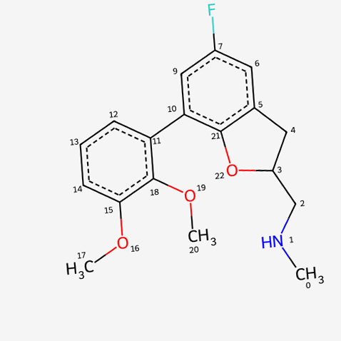 CNCC1Cc2cc(F)cc(-c3cccc(OC)c3OC)c2O1